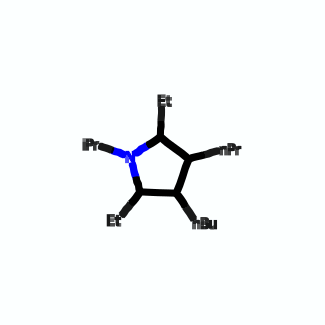 CCCCC1C(CCC)C(CC)N(C(C)C)C1CC